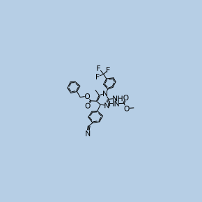 COC(=O)NNC1=NC(c2ccc(C#N)cc2)C(C(=O)OCc2ccccc2)=C(C)N1c1cccc(C(F)(F)F)c1